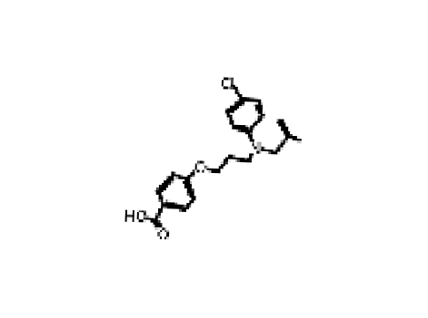 C=C(C)CN(CCCOc1ccc(C(=O)O)cc1)c1ccc(Cl)cc1